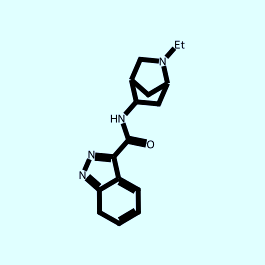 CCN1CC2CC1CC2NC(=O)C1=NN=C2CC=CC=C21